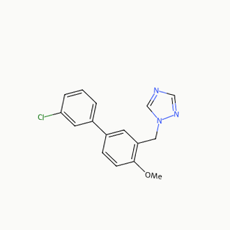 COc1ccc(-c2cccc(Cl)c2)cc1Cn1cncn1